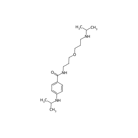 CC(C)NCCCOCCCNC(=O)c1ccc(NC(C)C)cc1